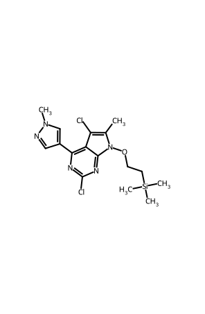 Cc1c(Cl)c2c(-c3cnn(C)c3)nc(Cl)nc2n1OCC[Si](C)(C)C